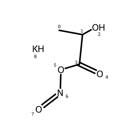 CC(O)C(=O)ON=O.[KH]